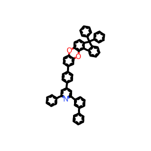 c1ccc(-c2cccc(-c3cc(-c4ccc(-c5ccc6c(c5)Oc5c(ccc7c5-c5ccccc5C7(c5ccccc5)c5ccccc5)O6)cc4)cc(-c4ccccc4)n3)c2)cc1